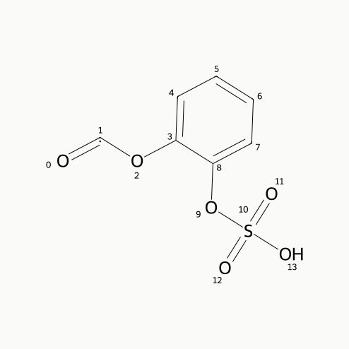 O=[C]Oc1ccccc1OS(=O)(=O)O